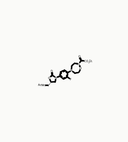 CCOC(=O)C(=O)N1CCN(c2ccc(N3C[C@H](CNC(C)=O)OC3=O)cc2F)CCO1